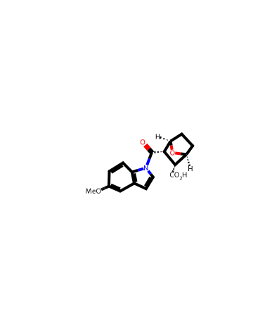 COc1ccc2c(ccn2C(=O)[C@H]2[C@@H](C(=O)O)[C@@H]3CC[C@H]2O3)c1